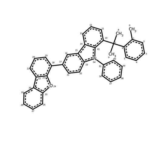 Cc1ccccc1C(C)(C)c1cccc2c3cc(-c4cccc5c4oc4ccccc45)ccc3n(-c3ccccc3)c12